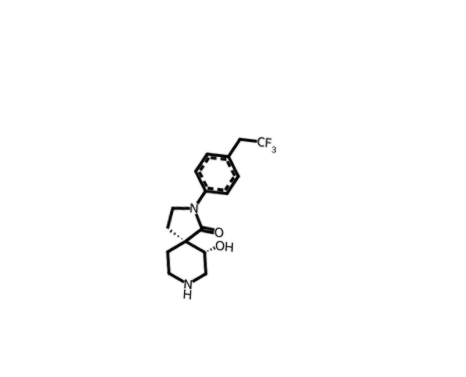 O=C1N(c2ccc(CC(F)(F)F)cc2)CC[C@]12CCNC[C@H]2O